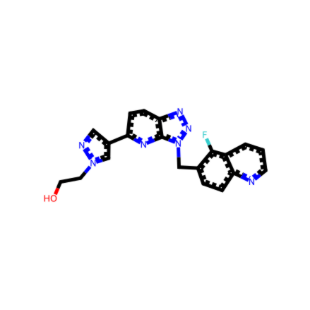 OCCn1cc(-c2ccc3nnn(Cc4ccc5ncccc5c4F)c3n2)cn1